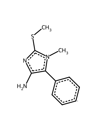 CSc1nc(N)c(-c2cc[c]cc2)n1C